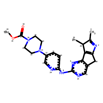 CC1=NC2=C(c3nc(Nc4ccc(N5CCN(C(=O)OC(C)(C)C)CC5)cn4)ncc3C2)C1C(C)C